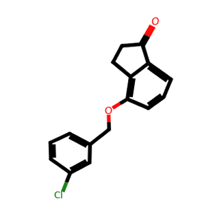 O=C1CCc2c(OCc3cccc(Cl)c3)cccc21